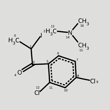 CC(I)C(=O)c1ccc(Cl)cc1Cl.CN(C)C